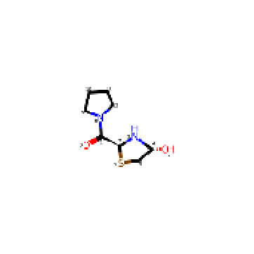 O=C([C@H]1N[C@H](O)CS1)N1CCCC1